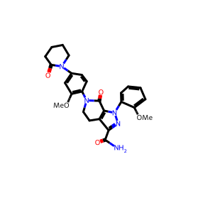 COc1cc(N2CCCCC2=O)ccc1N1CCc2c(C(N)=O)nn(-c3ccccc3OC)c2C1=O